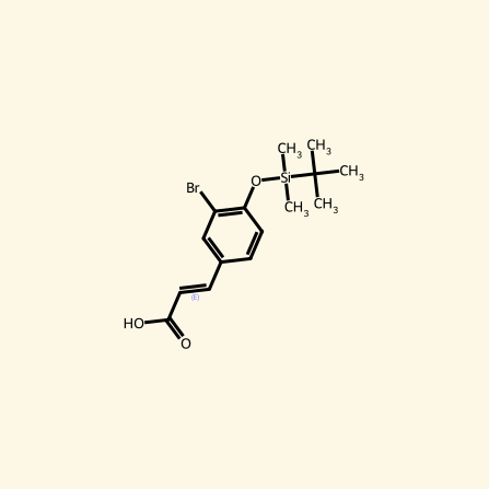 CC(C)(C)[Si](C)(C)Oc1ccc(/C=C/C(=O)O)cc1Br